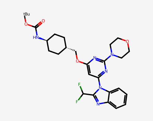 CC(C)(C)OC(=O)N[C@H]1CC[C@H](COc2cc(-n3c(C(F)F)nc4ccccc43)nc(N3CCOCC3)n2)CC1